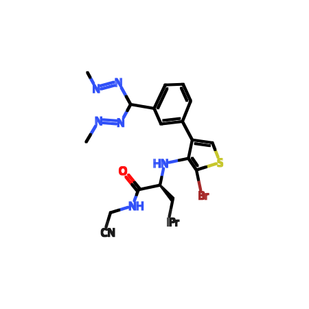 CN=NC(N=NC)c1cccc(-c2csc(Br)c2N[C@@H](CC(C)C)C(=O)NCC#N)c1